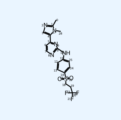 Cc1ncc(-c2ccnc(Nc3ccc(S(=O)(=O)CCC(F)(F)F)cc3)n2)n1C